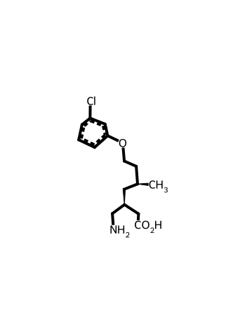 C[C@H](CCOc1cccc(Cl)c1)C[C@H](CN)CC(=O)O